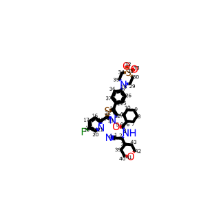 N#CC(NC(=O)C1CCCC[C@H]1c1nc(-c2ccc(F)cn2)sc1-c1ccc(N2CCS(=O)(=O)CC2)cc1)C1CCOCC1